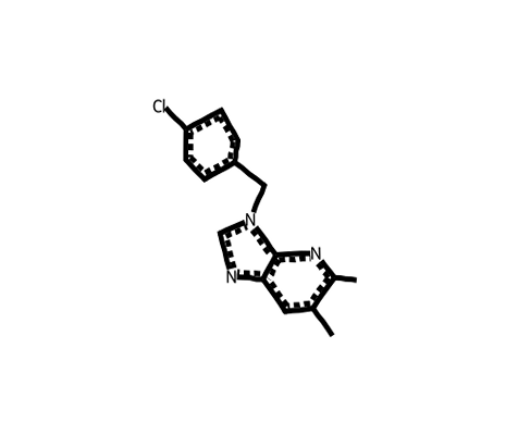 Cc1cc2ncn(Cc3ccc(Cl)cc3)c2nc1C